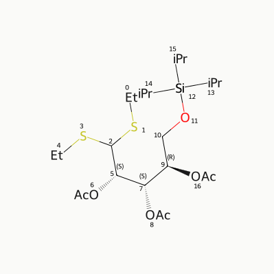 CCSC(SCC)[C@@H](OC(C)=O)[C@@H](OC(C)=O)[C@@H](CO[Si](C(C)C)(C(C)C)C(C)C)OC(C)=O